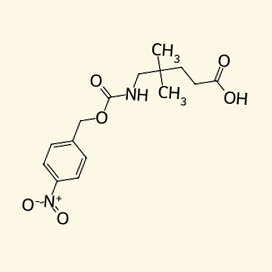 CC(C)(CCC(=O)O)CNC(=O)OCc1ccc([N+](=O)[O-])cc1